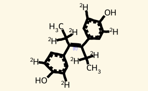 [2H]c1cc(/C(=C(/c2cc([2H])c(O)c([2H])c2)C([2H])([2H])C)C([2H])([2H])C)cc([2H])c1O